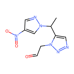 CC(c1cnnn1CC=O)n1cc([N+](=O)[O-])cn1